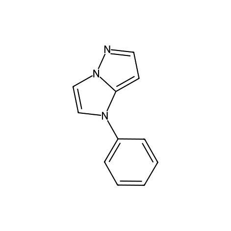 c1ccc(-n2ccn3nccc23)cc1